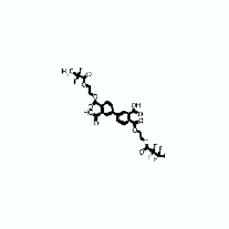 CC(F)(F)C(=O)OCCOC(=O)c1ccc(-c2ccc(C(=O)OCCOC(=O)C(F)(F)C(F)(F)F)c(C(=O)O)c2)cc1C(=O)O